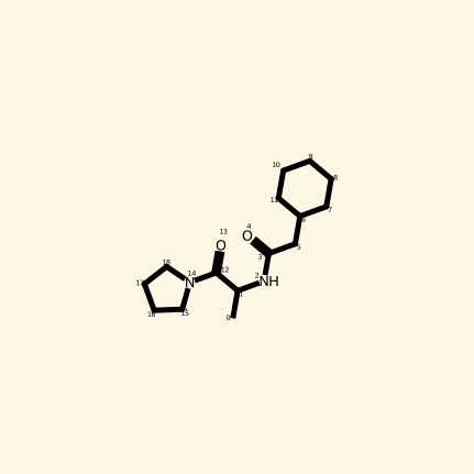 CC(NC(=O)CC1CCCCC1)C(=O)N1[CH]CCC1